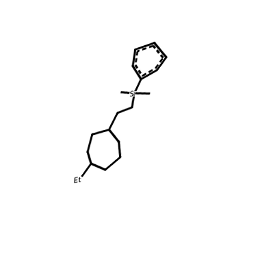 CCC1CCCC(CC[Si](C)(C)c2ccccc2)CC1